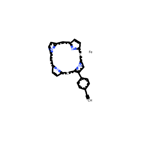 C#Cc1ccc(-c2cc3cc4nc(cc5ccc(cc6nc(cc2[nH]3)C=C6)[nH]5)C=C4)cc1.[Fe]